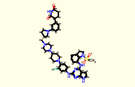 CS(=O)(=O)N1CCc2cccc(Nc3nc(Nc4ccc(N5CCC(N6CCN(C[C@@H]7CCN(c8cccc(C9CCC(=O)NC9=O)c8)C7)CC6)CC5)c(F)c4)nc4[nH]ccc34)c21